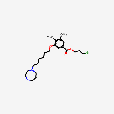 COc1cc(C(=O)OCCCBr)cc(OCCCCCCN2CCCNCC2)c1OC